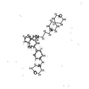 c1cc2nc(-c3ccc(CN4CCOCC4)cc3)cc(NCCCN3CCC4(CCOCC4)CC3)c2s1